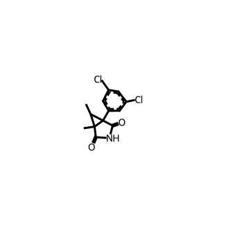 CC1C2(C)C(=O)NC(=O)C12c1cc(Cl)cc(Cl)c1